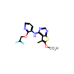 Cc1c(OC(=O)O)sc2ncnc(Nc3cccnc3OCC(F)F)c12